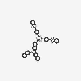 c1ccc2cc(-n3c4cc5ccccc5cc4c4cc5cc(-c6nc(-c7ccc(-c8nc9ccccc9o8)cc7)nc(-c7ccc(-c8nc9ccccc9o8)cc7)n6)ccc5cc43)ccc2c1